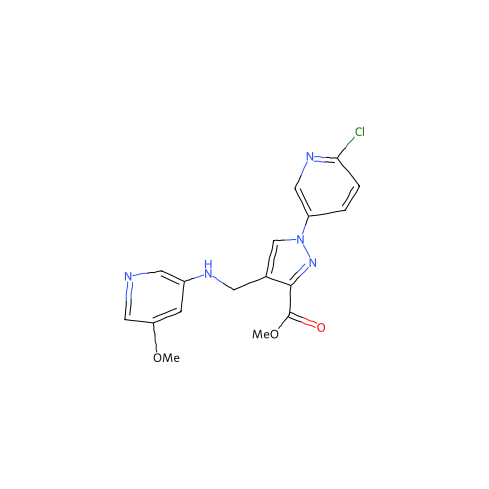 COC(=O)c1nn(-c2ccc(Cl)nc2)cc1CNc1cncc(OC)c1